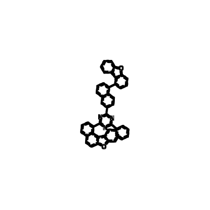 c1ccc(-c2nc(-c3ccc4c(-c5cccc6oc7ccccc7c56)cccc4c3)nc(-c3cccc4ccc5oc6ccccc6c5c34)n2)cc1